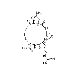 N=C(N)NCCC[C@@H]1NC2(CNC(=O)[C@H](CC(N)=O)NC(=O)CCSSC[C@@H](C(=O)O)NC1=O)COC2